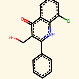 O=c1c(CO)c(-c2ccccc2)[nH]c2c(Cl)cccc12